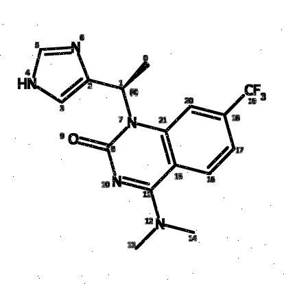 C[C@H](c1c[nH]cn1)n1c(=O)nc(N(C)C)c2ccc(C(F)(F)F)cc21